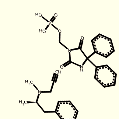 C#CCN(C)[C@H](C)Cc1ccccc1.O=C1NC(c2ccccc2)(c2ccccc2)C(=O)N1COP(=O)(O)O